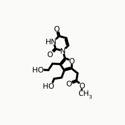 COC(=O)Cc1oc(-n2ccc(=O)[nH]c2=O)c(CCO)c1CCO